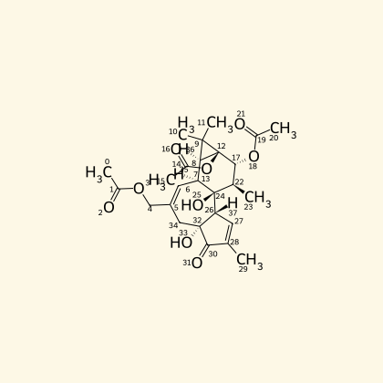 CC(=O)OCC1=C[C@H]2[C@H]3C(C)(C)[C@]3(OC(C)=O)[C@H](OC(C)=O)[C@@H](C)[C@]2(O)[C@@H]2C=C(C)C(=O)[C@@]2(O)C1